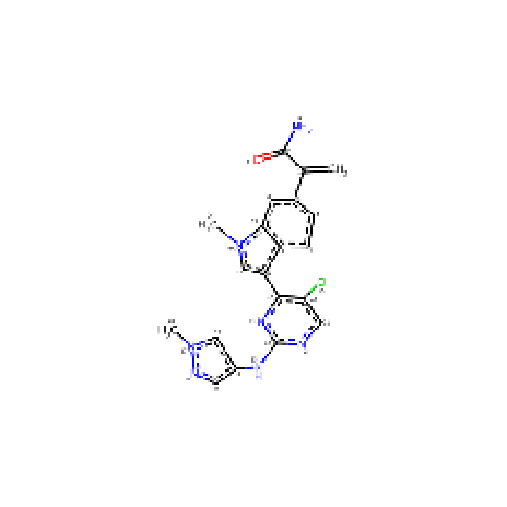 C=C(C(N)=O)c1ccc2c(-c3nc(Nc4cnn(C)c4)ncc3Cl)cn(C)c2c1